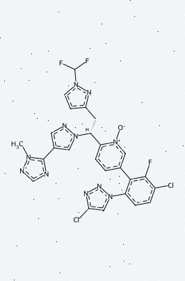 Cn1ncnc1-c1cnn([C@H](Cc2ccn(C(F)F)n2)c2ccc(-c3c(-n4cc(Cl)nn4)ccc(Cl)c3F)c[n+]2[O-])c1